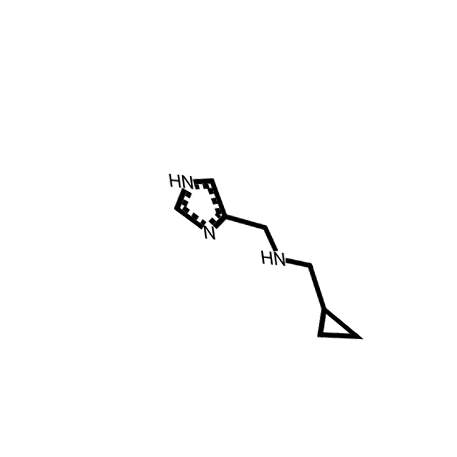 c1nc(CNCC2CC2)c[nH]1